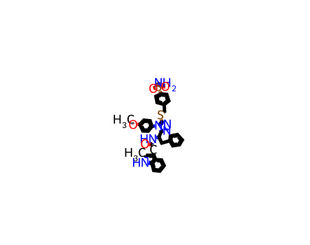 COc1ccc(-n2c(SCc3ccc(S(N)(=O)=O)cc3)nnc2C(Cc2ccccc2)NC(=O)Cc2c(C)[nH]c3ccccc23)cc1